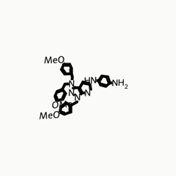 COc1ccc(CN(Cc2ccc(OC)cc2)c2nn(Cc3ccc(OC)cc3)c3ncc(Nc4ccc(N)cc4)cc23)cc1